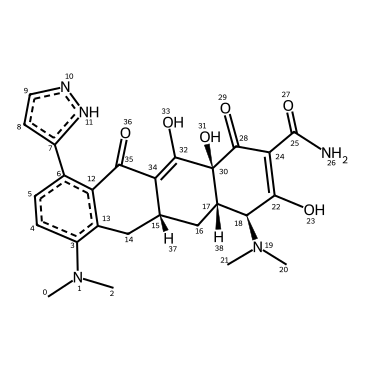 CN(C)c1ccc(-c2ccn[nH]2)c2c1C[C@H]1C[C@H]3[C@H](N(C)C)C(O)=C(C(N)=O)C(=O)[C@@]3(O)C(O)=C1C2=O